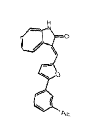 CC(=O)c1cccc(-c2ccc(/C=C3/C(=O)Nc4ccccc43)o2)c1